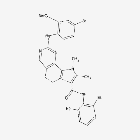 CCc1cccc(CC)c1NC(=O)c1c2c(n(C)c1C)-c1nc(Nc3ccc(Br)cc3OC)ncc1CC2